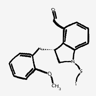 COc1ccccc1C[C@H]1CN(SI)c2cccc(C=O)c21